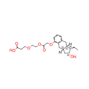 CC[C@@H]1[C@H]2Cc3cccc(OCC(=O)OCCOCCC(=O)O)c3C[C@H]2C[C@H]1O